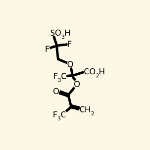 C=C(C(=O)OC(OCC(F)(F)S(=O)(=O)O)(C(=O)O)C(F)(F)F)C(F)(F)F